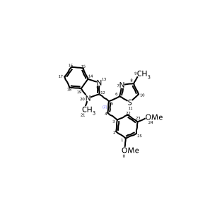 COc1cc(/C=C(\c2nc(C)cs2)c2nc3ccccc3n2C)cc(OC)c1